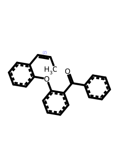 C/C=C\c1ccccc1Oc1ccccc1C(=O)c1ccccc1